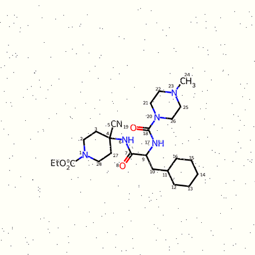 CCOC(=O)N1CCC(C#N)(NC(=O)C(CC2CCCCC2)NC(=O)N2CCN(C)CC2)CC1